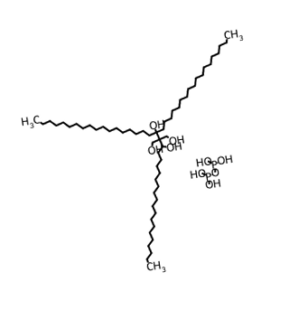 CCCCCCCCCCCCCCCCCCC(O)C(CO)(CO)C(O)(CCCCCCCCCCCCCCCCCC)CCCCCCCCCCCCCCCCCC.OP(O)OP(O)O